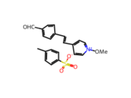 CO[n+]1ccc(C=Cc2ccc(C=O)cc2)cc1.Cc1ccc(S(=O)(=O)[O-])cc1